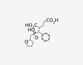 O=C(O)CCC(C(=O)O)C(c1ccccc1)P(=O)(O)CC1CCCO1